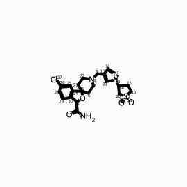 NC(=O)C1OC2(CCN(Cc3cnn(C4CCS(=O)(=O)C4)c3)CC2)c2cc(Cl)ccc21